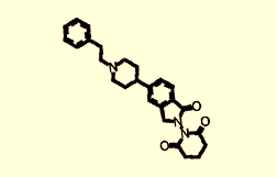 O=C1c2ccc(C3CCN(CCc4ccccc4)CC3)cc2CN1N1C(=O)CCCC1=O